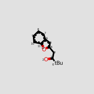 CC(C)(C)C(=O)Cc1cc2ccccc2o1